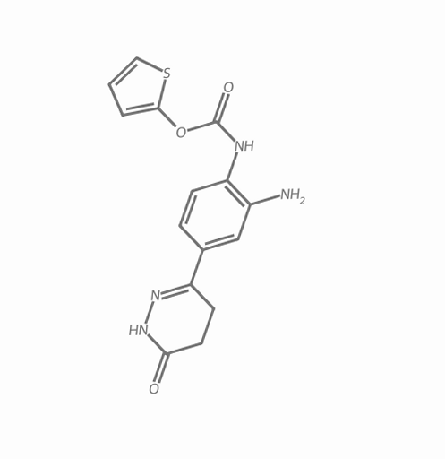 Nc1cc(C2=NNC(=O)CC2)ccc1NC(=O)Oc1cccs1